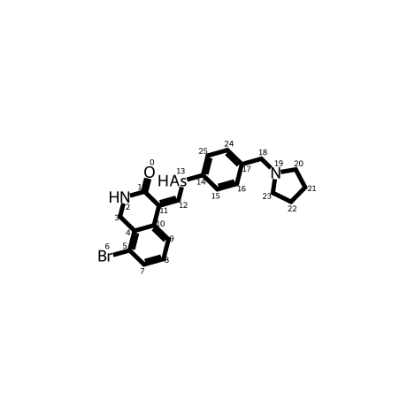 O=C1NCc2c(Br)cccc2C1=C[AsH]c1ccc(CN2CCCC2)cc1